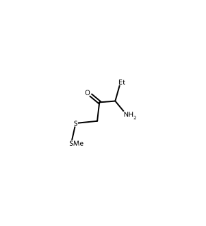 CCC(N)C(=O)CSSC